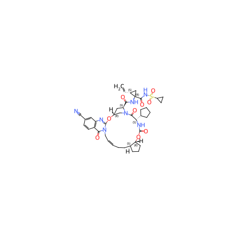 C=C[C@@H]1C[C@]1(NC(=O)[C@@H]1C[C@@H]2CN1C(=O)[C@H](C1CCCC1)NC(=O)O[C@@H]1CCC[C@H]1CCC=CCn1c(nc3cc(C#N)ccc3c1=O)O2)C(=O)NS(=O)(=O)C1CC1